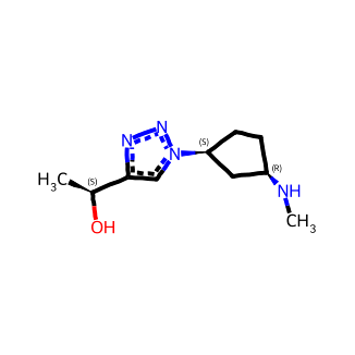 CN[C@@H]1CC[C@H](n2cc([C@H](C)O)nn2)C1